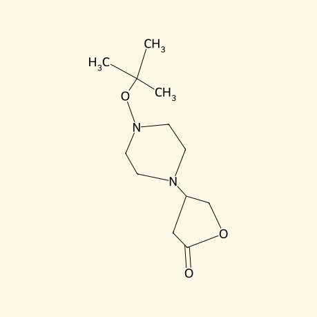 CC(C)(C)ON1CCN(C2COC(=O)C2)CC1